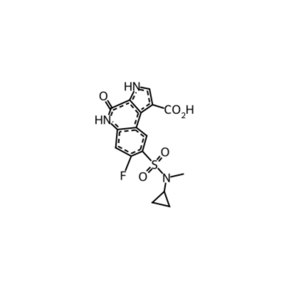 CN(C1CC1)S(=O)(=O)c1cc2c(cc1F)[nH]c(=O)c1[nH]cc(C(=O)O)c12